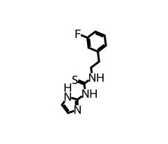 Fc1cccc(CCNC(=S)Nc2ncc[nH]2)c1